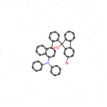 OC1(c2ccccc2-c2ccc(N(c3ccccc3)c3ccccc3)c3ccccc23)c2ccccc2-c2ccc(Br)cc21